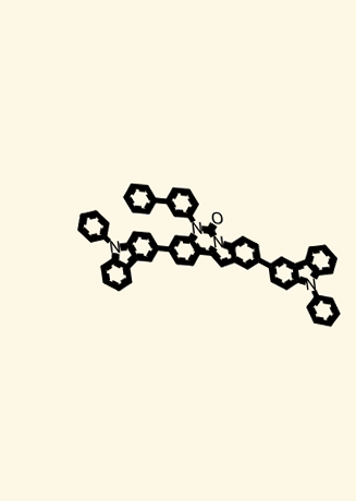 O=c1n(-c2cccc(-c3ccccc3)c2)c2cc(-c3ccc4c(c3)c3ccccc3n4-c3ccccc3)ccc2c2cc3cc(-c4ccc5c(c4)c4ccccc4n5-c4ccccc4)ccc3n12